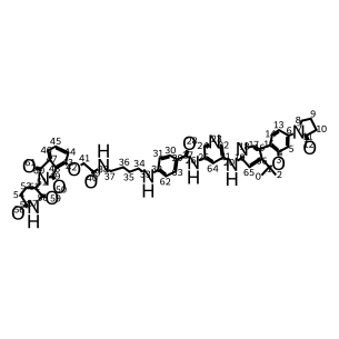 CC1(C)Oc2cc(N3CCCC3=O)ccc2-c2cnc(Nc3cncc(NC(=O)c4ccc(NCCCCNC(=O)COc5cccc6c5C(=O)N(C5CCC(=O)NC5=O)C6=O)cc4)c3)cc21